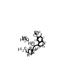 C=C[C@H]1CN2CCC1C[C@@H]2[C@@H](O)c1ccnc2ccc(OC)cc12.O.[Cl-].[H+]